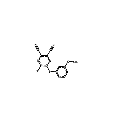 COc1cccc(Sc2nc(C#N)c(C#N)nc2Cl)c1